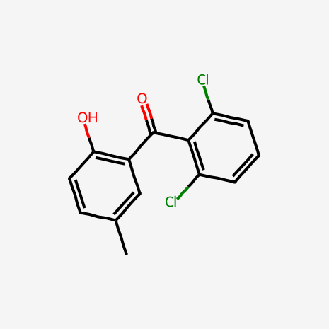 Cc1ccc(O)c(C(=O)c2c(Cl)cccc2Cl)c1